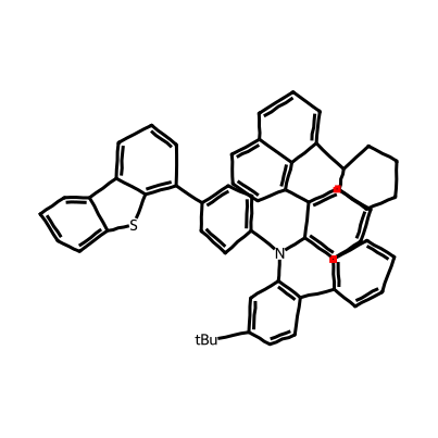 CC(C)(C)c1ccc(-c2ccccc2)c(N(c2ccc(-c3cccc4c3sc3ccccc34)cc2)c2ccccc2-c2cccc3cccc(C4CCCCC4)c23)c1